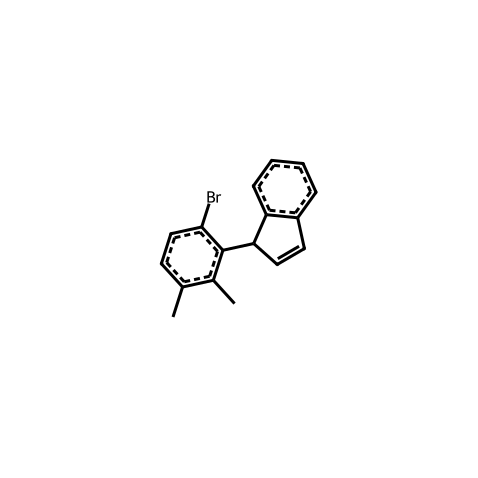 Cc1ccc(Br)c(C2C=Cc3ccccc32)c1C